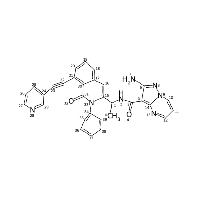 CC(NC(=O)c1c(N)nn2cccnc12)c1cc2cccc(C#Cc3cccnc3)c2c(=O)n1-c1ccccc1